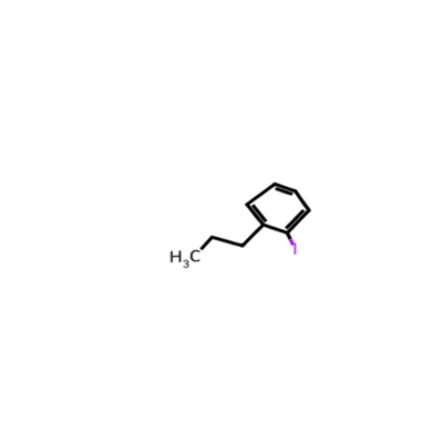 CCCc1ccccc1I